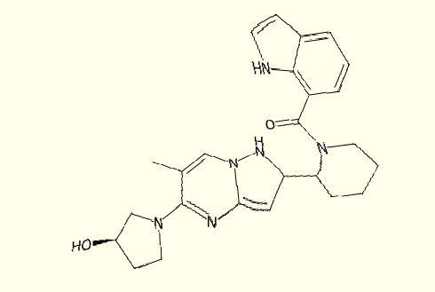 CC1=CN2NC(C3CCCCN3C(=O)c3cccc4cc[nH]c34)C=C2N=C1N1CC[C@@H](O)C1